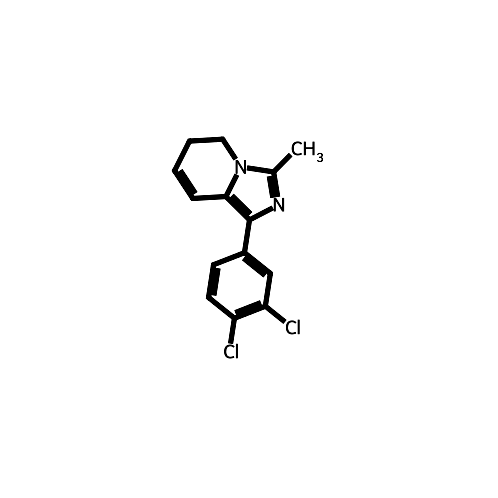 Cc1nc(-c2ccc(Cl)c(Cl)c2)c2n1CCC=C2